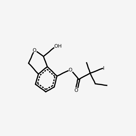 CCC(C)(I)C(=O)Oc1cccc2c1C(O)OC2